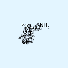 CCCn1c(=O)c2c(nc(Cc3ccc(F)cc3)n2CCN(CC)CCO)n(CCc2ccc(N)cc2)c1=O